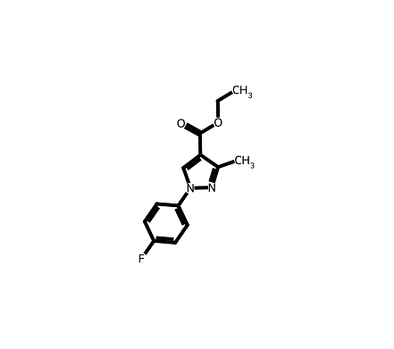 CCOC(=O)c1cn(-c2ccc(F)cc2)nc1C